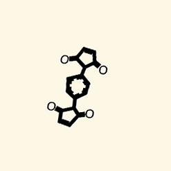 O=C1C=CC(=O)C1c1ccc(C2C(=O)C=CC2=O)cc1